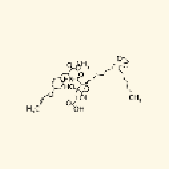 CC#CCOc1ccc(C[C@H](NC(=O)[C@@H](/C=C/CCCCCCC2(CCCCCCC)OCCO2)[C@@](O)(CCC(=O)O)C(=O)O)C(=O)OC)cc1